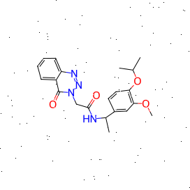 COc1cc(C(C)NC(=O)Cn2nnc3ccccc3c2=O)ccc1OC(C)C